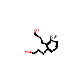 O=S(=O)(O)c1cccc(CCCO)c1CCCO